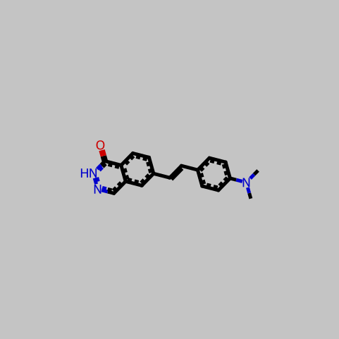 CN(C)c1ccc(/C=C/c2ccc3c(=O)[nH]ncc3c2)cc1